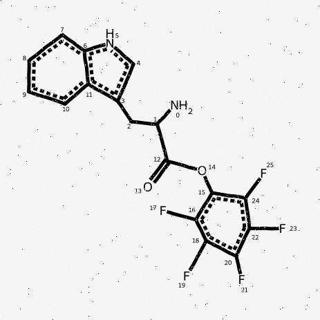 NC(Cc1c[nH]c2ccccc12)C(=O)Oc1c(F)c(F)c(F)c(F)c1F